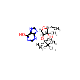 CC[C@H]1O[C@@H](n2cnc3c(O)ncnc32)[C@H](O[Si](C)(C)C(C)(C)C)[C@@]1(C)O